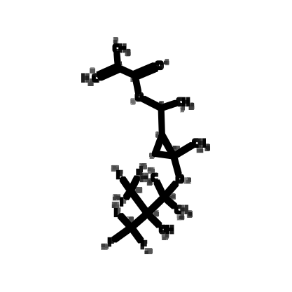 C=C(C)C(=O)OC(C)C1CC1(C)OC(C)(C)C(O)(C(F)(F)F)C(F)(F)F